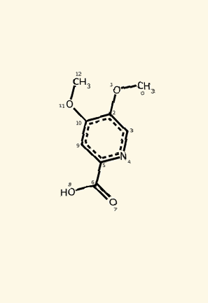 COc1cnc(C(=O)O)cc1OC